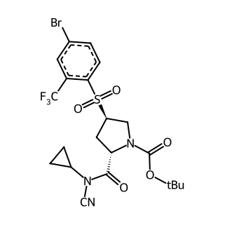 CC(C)(C)OC(=O)N1C[C@H](S(=O)(=O)c2ccc(Br)cc2C(F)(F)F)C[C@H]1C(=O)N(C#N)C1CC1